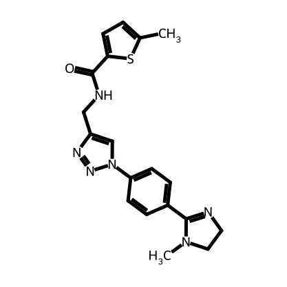 Cc1ccc(C(=O)NCc2cn(-c3ccc(C4=NCCN4C)cc3)nn2)s1